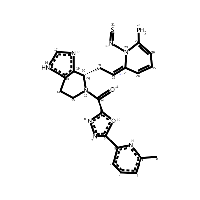 Cc1cccc(-c2nnc(C(=O)N3CCc4[nH]cnc4[C@@H]3C/C=C3/C=CC=C(P)N3N=S)o2)n1